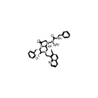 CCCN(C(=O)NCc1ccccc1)N1CC(=O)N2[C@@H](Cc3ccccc3)C(=C=O)N(Cc3c(I)ccc4cccnc34)C[C@@H]21